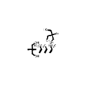 C=CC(=O)O.C=CC(=O)O.C=CC(=O)O.CC(C)(CO)CO.CCC(CO)(CO)CO